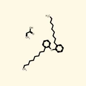 C=CC(=O)O.CCCCCCCCCc1ccccc1Oc1ccccc1CCCCCCCCC